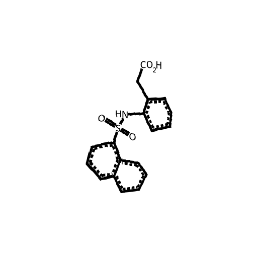 O=C(O)Cc1ccccc1NS(=O)(=O)c1cccc2ccccc12